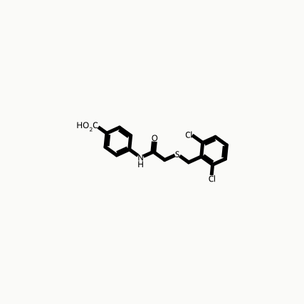 O=C(CSCc1c(Cl)cccc1Cl)Nc1ccc(C(=O)O)cc1